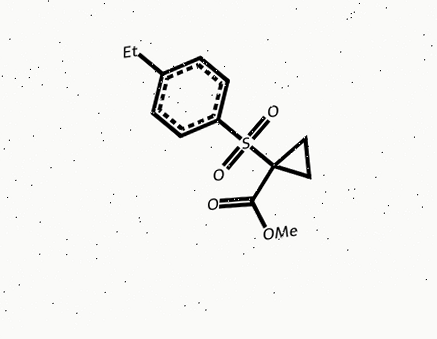 CCc1ccc(S(=O)(=O)C2(C(=O)OC)CC2)cc1